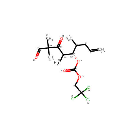 C=CCC(C)[C@H](OC(=O)OCC(Cl)(Cl)Cl)C(C)C(=O)C(C)(C)C=O